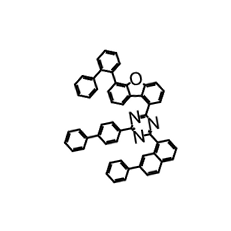 c1ccc(-c2ccc(-c3nc(-c4cccc5ccc(-c6ccccc6)cc45)nc(-c4cccc5oc6c(-c7ccccc7-c7ccccc7)cccc6c45)n3)cc2)cc1